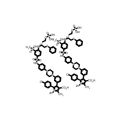 Cc1c(C(=O)O)c(-c2cccc(N3CCN(c4ccc(NS(=O)(=O)c5ccc(N[C@H](CCOP(=O)(O)O)CSc6ccccc6)c(S(=O)(=O)C(F)(F)F)c5)cc4)CC3)c2)c(-c2ccc(Cl)cc2)n1C(C)C.Cc1c(C(=O)O)c(-c2cccc(N3CCN(c4ccc(NS(=O)(=O)c5ccc(N[C@H](CCOP(=O)(O)O)CSc6ccccc6)c(S(C)(=O)=O)c5)cc4)CC3)c2)c(-c2ccc(Cl)cc2)n1C(C)C